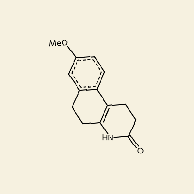 COc1ccc2c(c1)CCC1=C2CCC(=O)N1